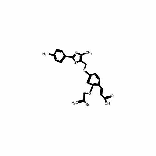 C=C(Br)COc1cc(OCc2sc(-c3ccc(C)cc3)nc2C)ccc1C=CC(=O)O